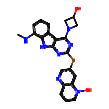 CNc1cccc2c1[nH]c1nc(Sc3cnc4ccc[n+](O)c4c3)nc(N3CC(O)C3)c12